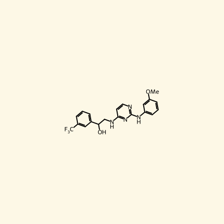 COc1cccc(Nc2nccc(NCC(O)c3cccc(C(F)(F)F)c3)n2)c1